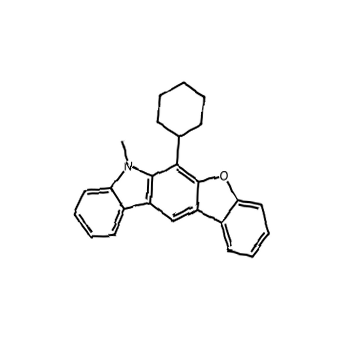 Cn1c2ccccc2c2cc3c(oc4ccccc43)c(C3CCCCC3)c21